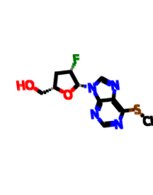 CSc1ncnc2c1ncn2[C@@H]1O[C@H](CO)C[C@@H]1F